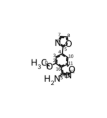 COc1cc(-c2ncco2)cc2onc(N)c12